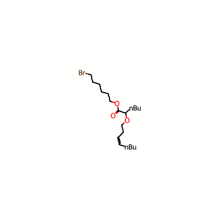 CCCC/C=C\CCOC(CCCC)C(=O)OCCCCCCBr